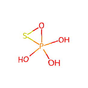 OP1(O)(O)OS1